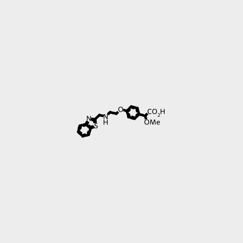 COC(C(=O)O)c1ccc(OCCNCc2nc3ccccc3s2)cc1